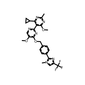 COc1cnc(-c2c(OC)nc(C)nc2C2CC2)nc1OCc1ccc(-c2nc(C(F)(F)F)cn2C)cc1